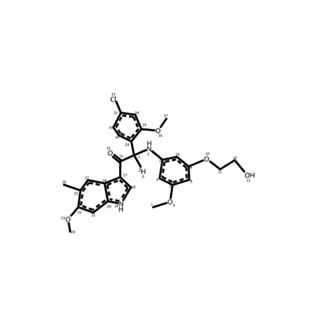 [2H]C(Nc1cc(OC)cc(OCCO)c1)(C(=O)c1c[nH]c2cc(OC)c(C)cc12)c1ccc(Cl)cc1OC